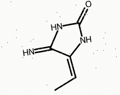 CC=C1NC(=O)NC1=N